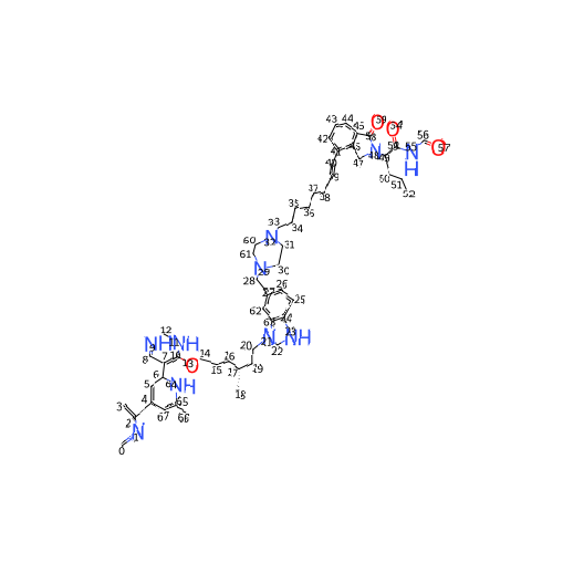 C=NC(=C)C1=CC(/C(C=N)=C(/NC)OCCC[C@@H](C)CCN2CNc3ccc(CN4CCN(CCCCCCC#Cc5cccc6c5CN(C(CCC)C(=O)NC=O)C6=O)CC4)cc32)NC(C)=C1